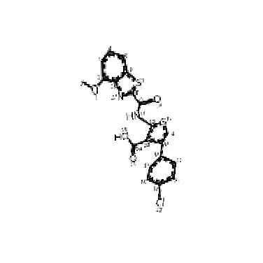 COc1cccc2sc(C(=O)Nc3scc(-c4ccc(Cl)cc4)c3C(=O)O)nc12